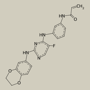 C=CC(=O)Nc1cccc(Nc2nc(Nc3ccc4c(c3)OCCO4)ncc2F)c1